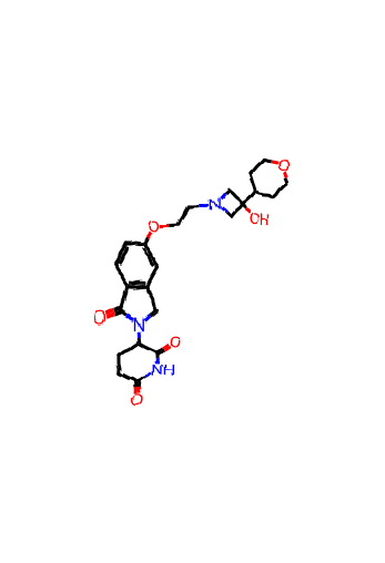 O=C1CCC(N2Cc3cc(OCCN4CC(O)(C5CCOCC5)C4)ccc3C2=O)C(=O)N1